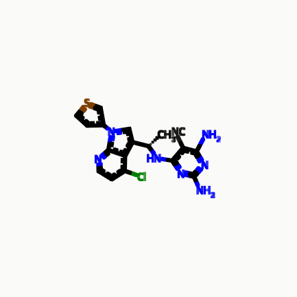 C[C@H](Nc1nc(N)nc(N)c1C#N)c1cn(-c2ccsc2)c2nccc(Cl)c12